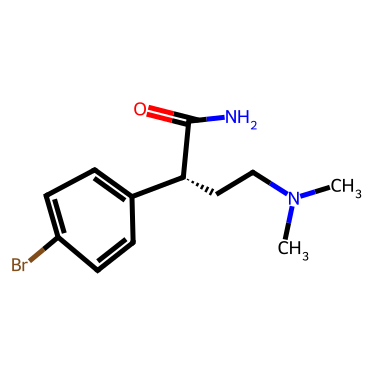 CN(C)CC[C@@H](C(N)=O)c1ccc(Br)cc1